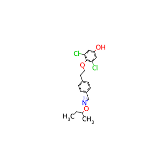 CCC(C)O/N=C/c1ccc(CCOc2c(Cl)cc(O)cc2Cl)cc1